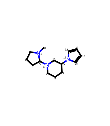 CN1CCCC1N1CCCC(n2cccc2)C1